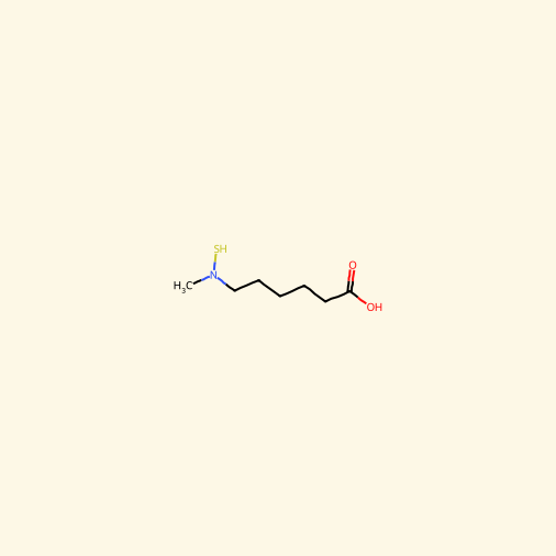 CN(S)CCCCCC(=O)O